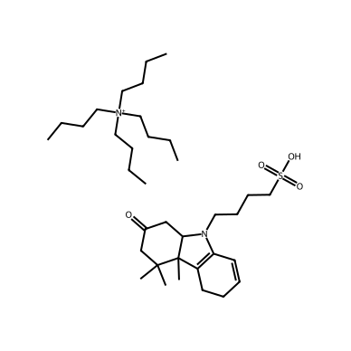 CC1(C)CC(=O)CC2N(CCCCS(=O)(=O)O)C3=C(CCC=C3)C21C.CCCC[N+](CCCC)(CCCC)CCCC